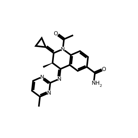 CC(=O)N1C(=C2CC2)[C@H](C)/C(=N\c2nccc(C)n2)c2cc(C(N)=O)ccc21